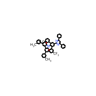 Cc1cccc(-c2ccc3c(c2)c2cc(-c4cccc(C)c4)ccc2n3-c2c(-c3cccc(C(F)(F)F)c3)cc(-c3nc(-c4ccccc4)cc(-c4ccccc4)n3)cc2-c2cccc(C(F)(F)F)c2)c1